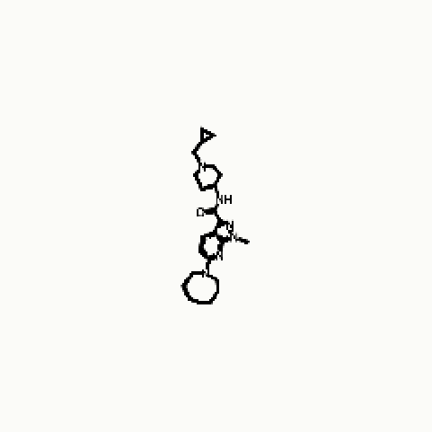 Cn1nc(C(=O)NC2CCN(CC3CC3)CC2)c2ccc(N3CCCCCCC3)nc21